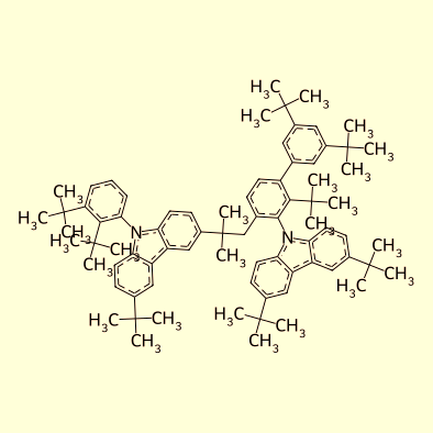 CC(C)(C)c1cc(-c2ccc(CC(C)(C)c3ccc4c(c3)c3cc(C(C)(C)C)ccc3n4-c3cccc(C(C)(C)C)c3C(C)(C)C)c(-n3c4ccc(C(C)(C)C)cc4c4cc(C(C)(C)C)ccc43)c2C(C)(C)C)cc(C(C)(C)C)c1